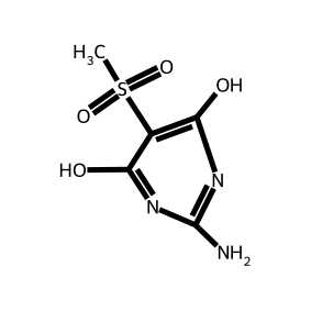 CS(=O)(=O)c1c(O)nc(N)nc1O